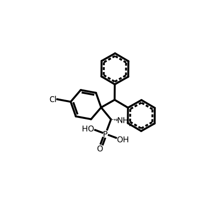 N[C@@H](C1(C(c2ccccc2)c2ccccc2)C=CC(Cl)=CC1)P(=O)(O)O